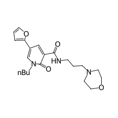 CCCCn1cc(-c2ccco2)cc(C(=O)NCCCN2CCOCC2)c1=O